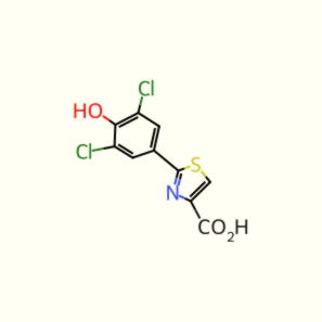 O=C(O)c1csc(-c2cc(Cl)c(O)c(Cl)c2)n1